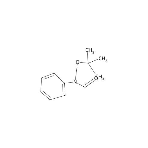 CC(C)(C)ON(C=O)c1ccccc1